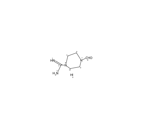 I.N=C(N)N1CCN(C=O)CC1